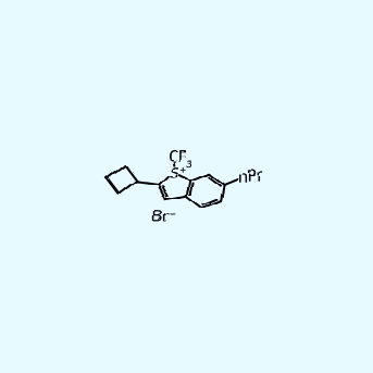 CCCc1ccc2cc(C3CCC3)[s+](C(F)(F)F)c2c1.[Br-]